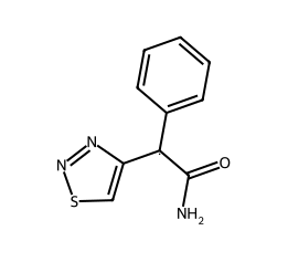 NC(=O)[C](c1ccccc1)c1csnn1